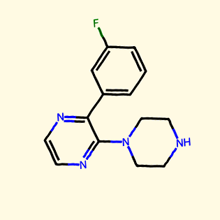 Fc1cccc(-c2nccnc2N2CCNCC2)c1